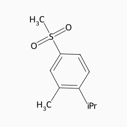 Cc1cc(S(C)(=O)=O)ccc1C(C)C